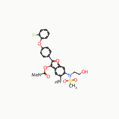 CCCc1cc2c(OC(=O)NC)c(-c3ccc(Oc4ccccc4F)cc3)oc2cc1N(CCO)S(C)(=O)=O